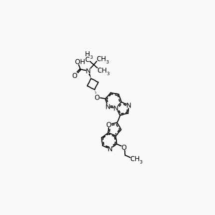 CCOc1nccc2oc(-c3cnc4ccc(O[C@H]5C[C@H](N(C(=O)O)C(C)(C)C)C5)nn34)cc12